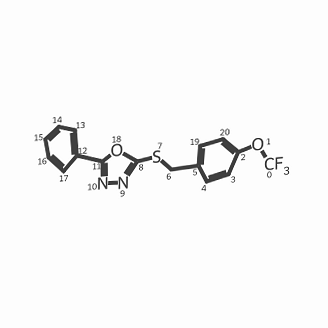 FC(F)(F)Oc1ccc(CSc2nnc(-c3ccccc3)o2)cc1